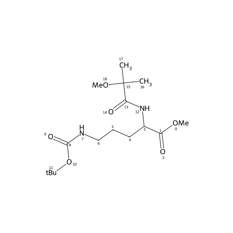 COC(=O)C(CCCNC(=O)OC(C)(C)C)NC(=O)C(C)(C)OC